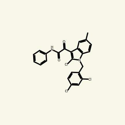 Cc1ccc2c(c1)c(C(=O)C(=O)Nc1ccccc1)c(Cl)n2Cc1ccc(Cl)cc1Cl